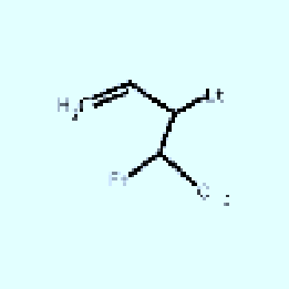 C=CC(CC)C(C)CC